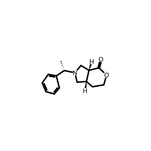 C[C@@H](c1ccccc1)N1C[C@H]2CCOC(=O)[C@H]2C1